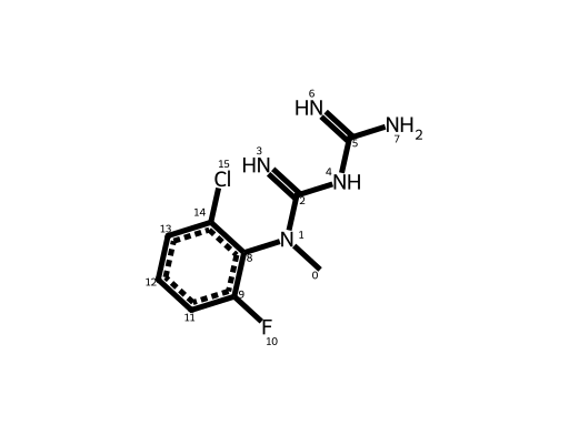 CN(C(=N)NC(=N)N)c1c(F)cccc1Cl